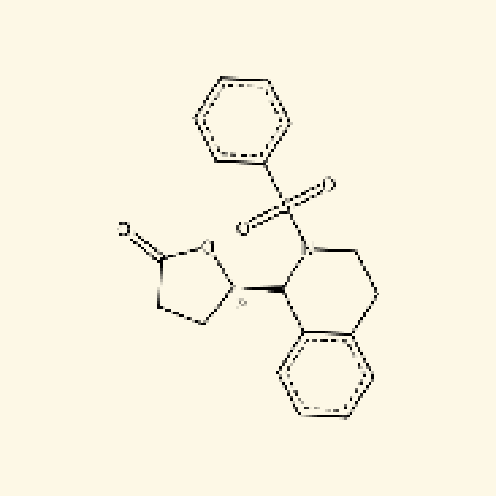 O=C1CC[C@H](C2c3ccccc3CCN2S(=O)(=O)c2ccccc2)O1